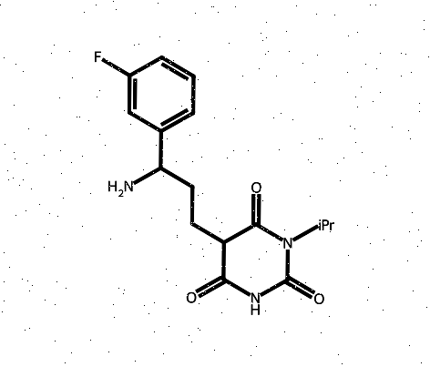 CC(C)N1C(=O)NC(=O)C(CCC(N)c2cccc(F)c2)C1=O